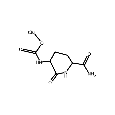 CC(C)(C)OC(=O)NC1CCC(C(N)=O)NC1=O